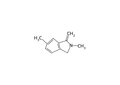 C=C1c2cc(C)ccc2CN1C